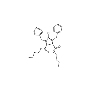 CCCCOC(=O)[C@@H]1[C@H](C(=O)OCCCC)N(Cc2ccccc2)C(=O)N1Cc1ccccc1